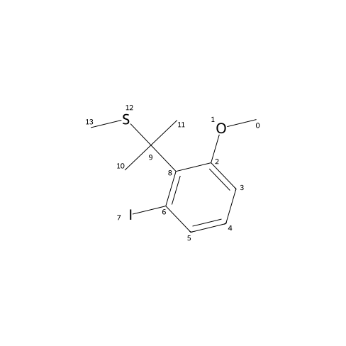 COc1cccc(I)c1C(C)(C)SC